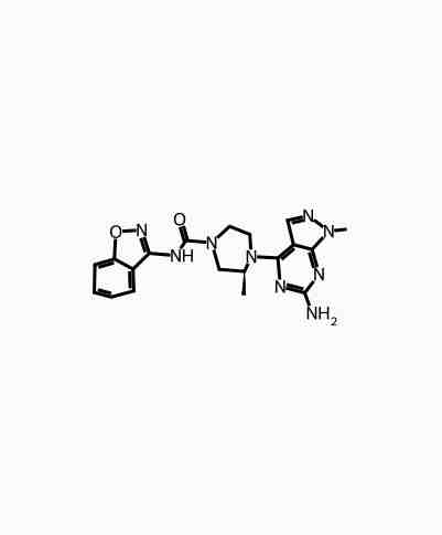 C[C@H]1CN(C(=O)Nc2noc3ccccc23)CCN1c1nc(N)nc2c1cnn2C